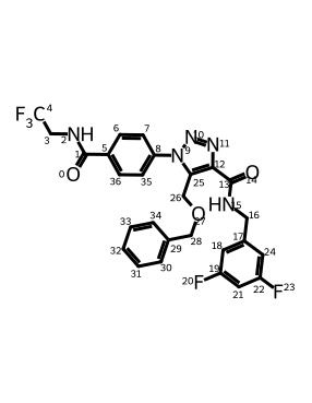 O=C(NCC(F)(F)F)c1ccc(-n2nnc(C(=O)NCc3cc(F)cc(F)c3)c2COCc2ccccc2)cc1